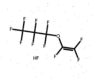 F.FC(F)=C(F)OC(F)(F)C(F)(F)C(F)(F)F